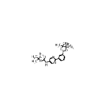 CC(C)(C)OC(=O)Nc1cnc(-c2cccc(B3OC(C)(C)C(C)(C)O3)c2)nc1